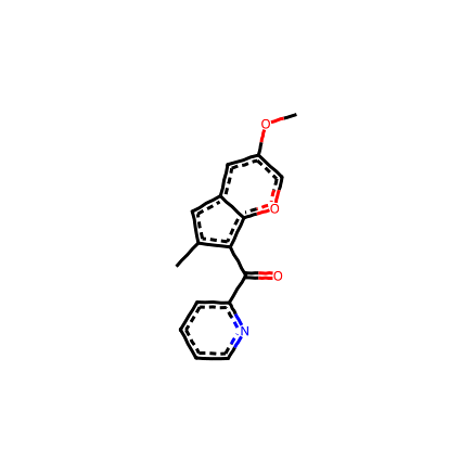 COc1coc2c(C(=O)c3ccccn3)c(C)cc-2c1